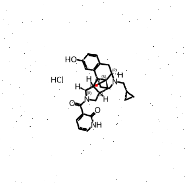 Cl.O=C(c1ccc[nH]c1=O)N1C[C@H]2C[C@@]34CC[C@@H]1[C@@H]2[C@@]31CCN(CC2CC2)[C@@H]4Cc2ccc(O)cc21